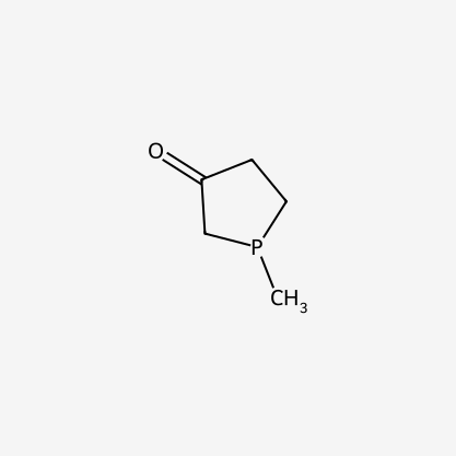 CP1CCC(=O)C1